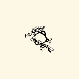 C=CC(=O)N1CC[C@H](C(=O)N(C)C(C(=O)N[C@H]2Cc3cc(cc(C(F)F)c3)-c3ccc4c(c3)c(c(-c3cc(N5CCNCC5)cnc3[C@H](C)OC)n4CC(F)(F)F)CC(C)(C)COC(=O)[C@@H]3CCCN(N3)C2=O)C(C)C)C1